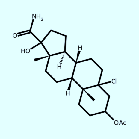 CC(=O)OC1CC[C@]2(C)[C@@H]3CC[C@@]4(C)[C@@H](CCC4(O)C(N)=O)[C@@H]3CCC2(Cl)C1